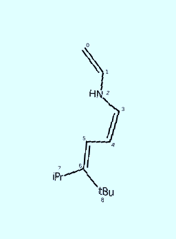 C=CN/C=C\C=C(\C(C)C)C(C)(C)C